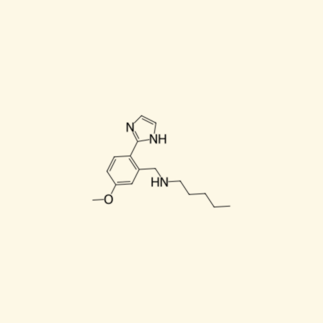 CCCCCNCc1cc(OC)ccc1-c1ncc[nH]1